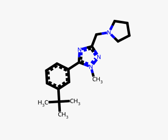 Cn1nc(CN2CCCC2)nc1-c1cccc(C(C)(C)C)c1